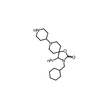 CCCC1N(CC2CCCCC2)C(=O)OC12CCN(C1CCNCC1)CC2